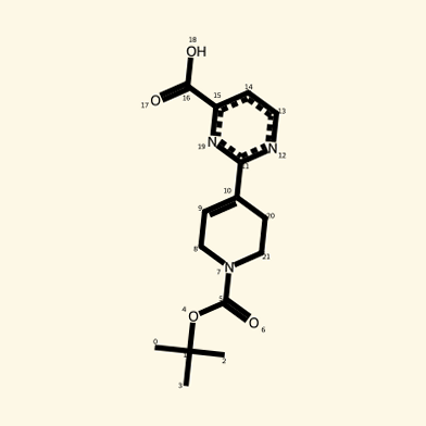 CC(C)(C)OC(=O)N1CC=C(c2nccc(C(=O)O)n2)CC1